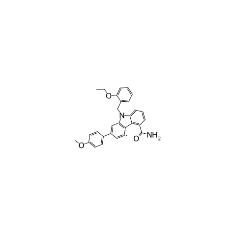 CCOc1ccccc1Cn1c2cc(-c3ccc(OC)cc3)c[c]c2c2c(C(N)=O)cccc21